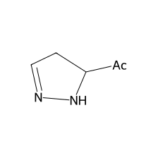 CC(=O)C1CC=NN1